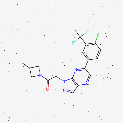 CC1CN(C(=O)Cn2ncc3ncc(-c4ccc(Cl)c(C(C)(F)F)c4)nc32)C1